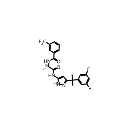 C[C@H](NC(=O)c1cccc(C(F)(F)F)c1)C(=O)Nc1cc(C(C)(C)c2cc(F)cc(F)c2)n[nH]1